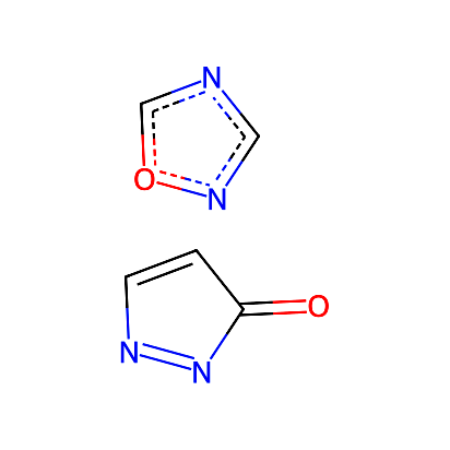 O=C1C=CN=N1.c1ncon1